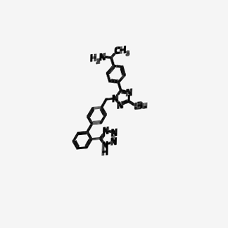 CC(N)c1ccc(-c2nc(C(C)(C)C)nn2Cc2ccc(-c3ccccc3-c3nnn[nH]3)cc2)cc1